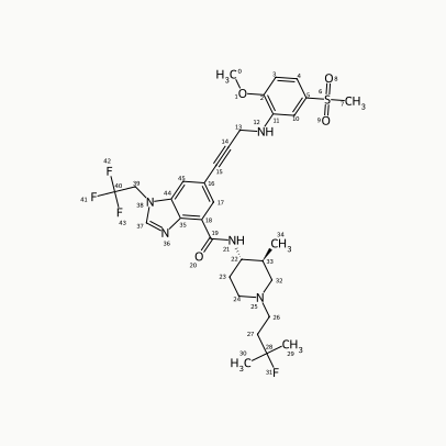 COc1ccc(S(C)(=O)=O)cc1NCC#Cc1cc(C(=O)N[C@H]2CCN(CCC(C)(C)F)C[C@@H]2C)c2ncn(CC(F)(F)F)c2c1